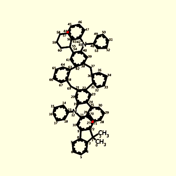 CC1(C)c2ccccc2-c2cc(N(c3ccccc3)c3cc4c(cc3-c3ccccc3)-c3ccccc3Cc3cc(N(c5ccccc5)c5ccccc5)c(C5CCCCC5)cc3-c3ccccc3C4)ccc21